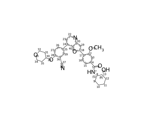 COc1cc(C(=O)N[C@H]2CCCC[C@H]2O)ccc1-c1cc2nccc(-c3ccc(OC4CCOCC4)c(C#N)c3)c2o1